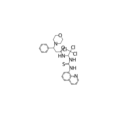 O=C(CC(c1ccccc1)N1CCOCC1)NC(NC(=S)Nc1cccc2cccnc12)C(Cl)(Cl)Cl